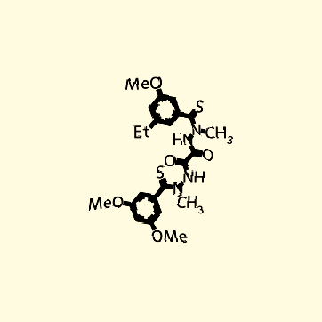 CCc1cc(OC)cc(C(=S)N(C)NC(=O)C(=O)NN(C)C(=S)c2cc(OC)cc(OC)c2)c1